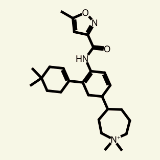 Cc1cc(C(=O)NC2=C(C3=CCC(C)(C)CC3)CC(C3CCC[N+](C)(C)CC3)C=C2)no1